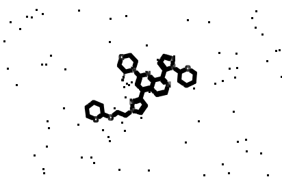 C[C@@H]1COCCN1c1cc(-c2ccn(CCOC3CCCCO3)n2)c2ccnc(-c3ccnn3C3CCCCO3)c2n1